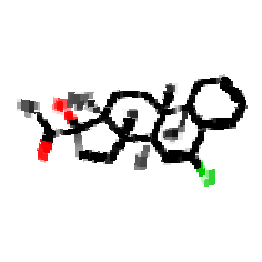 CC(=O)[C@@]1(O)CC[C@H]2[C@@H]3C=C(Cl)C4=CC=CC[C@]4(C)[C@H]3CC[C@@]21C